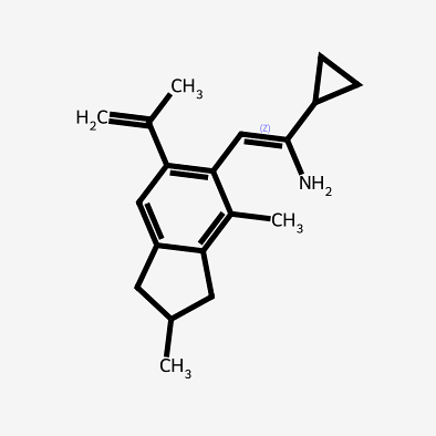 C=C(C)c1cc2c(c(C)c1/C=C(\N)C1CC1)CC(C)C2